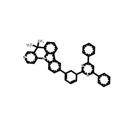 CC1(C)c2cnccc2-n2c3ccc(C4=CC=CC(c5nc(-c6ccccc6)cc(-c6ccccc6)n5)C4)cc3c3cccc1c32